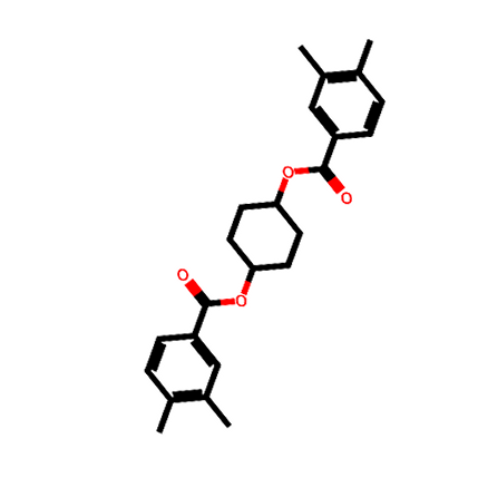 Cc1ccc(C(=O)OC2CCC(OC(=O)c3ccc(C)c(C)c3)CC2)cc1C